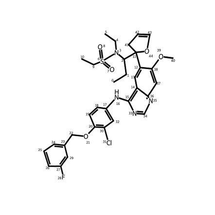 CCC(N(CC)S(=O)(=O)CC)C1(c2cc3c(Nc4ccc(OCc5cccc(F)c5)c(Cl)c4)ncnc3cc2OC)CC=CO1